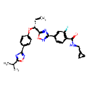 CC[C@@H](Oc1ccc(-c2noc(C(C)C)n2)cc1)c1nc(-c2ccc(C(=O)NCC3CC3)c(F)c2)no1